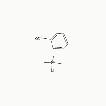 CC[N+](C)(C)C.O=C([O-])c1ccccc1